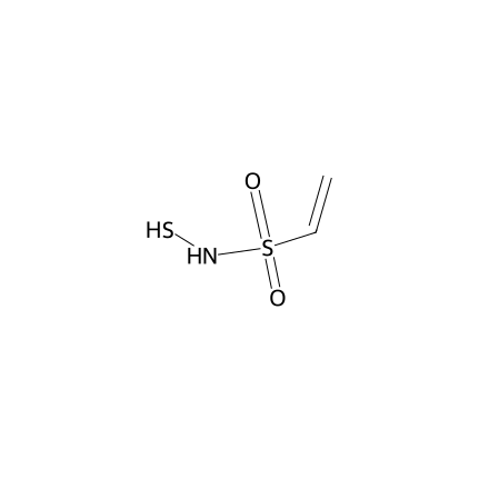 C=CS(=O)(=O)NS